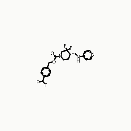 O=C(OCc1ccc(C(F)F)cc1)N1CC[C@@H](CNc2ccncc2)C(F)(F)C1